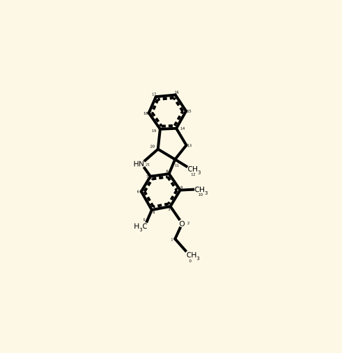 CCOc1c(C)cc2c(c1C)C1(C)Cc3ccccc3C1N2